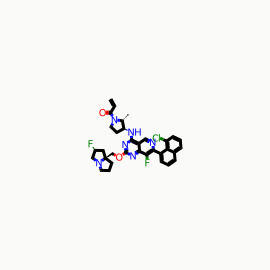 C=CC(=O)N1CC[C@@H](Nc2nc(OC[C@@]34CCCN3C[C@H](F)C4)nc3c(F)c(-c4cccc5cccc(Cl)c45)ncc23)[C@H]1C